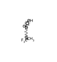 CC(OCCCCCCOC(=O)c1ccc(O)cc1)C(F)(F)F